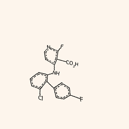 O=C(O)c1c(Nc2cccc(Cl)c2-c2ccc(F)cc2)ccnc1F